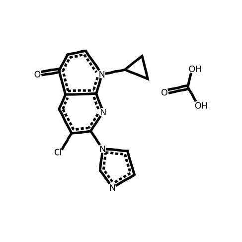 O=C(O)O.O=c1ccn(C2CC2)c2nc(-n3ccnc3)c(Cl)cc12